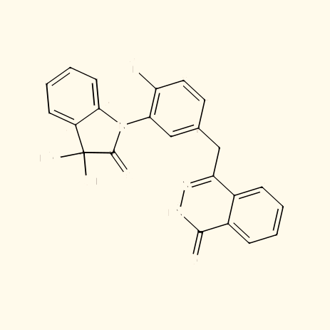 CC1(C)C(=O)N(c2cc(Cc3n[nH]c(=O)c4ccccc34)ccc2F)c2ccccc21